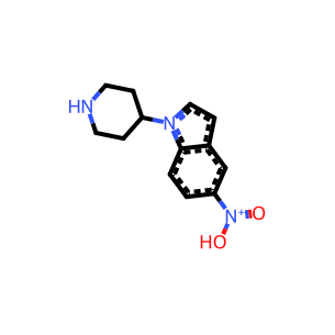 O=[N+](O)c1ccc2c(ccn2C2CCNCC2)c1